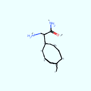 CC1CCC(C(N)C(N)=O)CC1